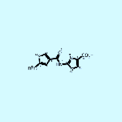 CCCc1cc(C(=O)Nc2nc(C(=O)O)cs2)cs1